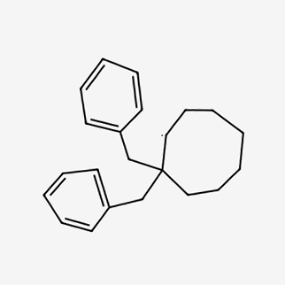 [CH]1CCCCCCC1(Cc1ccccc1)Cc1ccccc1